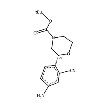 CC(C)(C)OC(=O)N1CCO[C@H](c2ccc(N)cc2C#N)C1